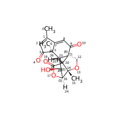 CC1=CC(=O)[C@@]2(C)C1=CC(=O)[C@@]13CO[C@]4(C)[C@@H](OC(=O)[C@@H]41)[C@H](O)[C@H]23